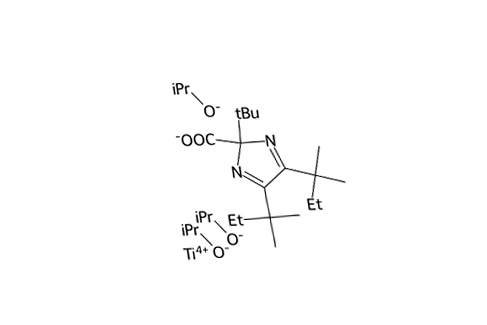 CC(C)[O-].CC(C)[O-].CC(C)[O-].CCC(C)(C)C1=NC(C(=O)[O-])(C(C)(C)C)N=C1C(C)(C)CC.[Ti+4]